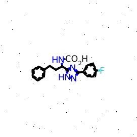 O=C(O)NC(CCc1ccccc1)c1nc(-c2ccc(F)cc2)n[nH]1